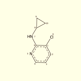 Clc1[c]ccnc1NC1CC1